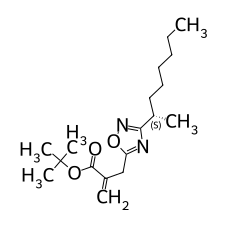 C=C(Cc1nc([C@@H](C)CCCCCC)no1)C(=O)OC(C)(C)C